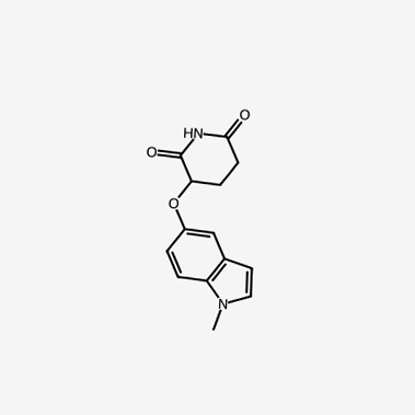 Cn1ccc2cc(OC3CCC(=O)NC3=O)ccc21